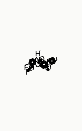 COc1ccc(S(=O)(=O)Nc2cccc(OC(F)F)c2)cc1N1CCN(C)CC1